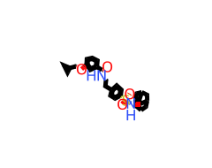 O=C(NCCc1ccc(S(=O)(=O)NC23CC4CC(CC(C4)C2)C3)cc1)c1cccc(OCC2CC2)c1